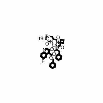 CC(C)CC(C(=O)N(C)C1(C(=O)NC(COc2cnc3ccc(F)cc3c2C(=O)OCc2ccccc2)Cc2ccccc2)CCC1)N(C)C(=O)OC(C)(C)C